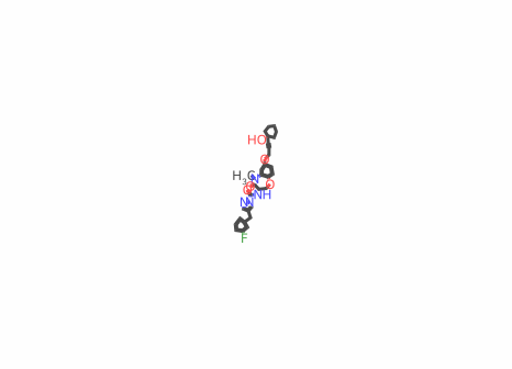 CN1C(=O)[C@@H](NC(=O)n2cc(Cc3cccc(F)c3)cn2)COc2ccc(OCC#CC3(O)CCCCC3)cc21